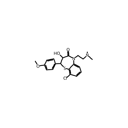 COc1ccc(C2Sc3c(Cl)cccc3N(CCN(C)C)C(=O)C2O)cc1